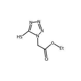 CCOC(=O)Cn1nnnc1S